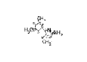 [CH2]Cc1sc(N)nc1-c1cc(C)cc(C)c1